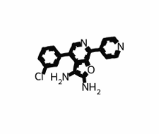 Nc1oc2c(-c3ccncc3)ncc(-c3cccc(Cl)c3)c2c1N